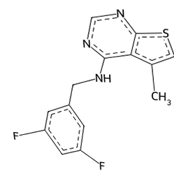 Cc1csc2ncnc(NCc3cc(F)cc(F)c3)c12